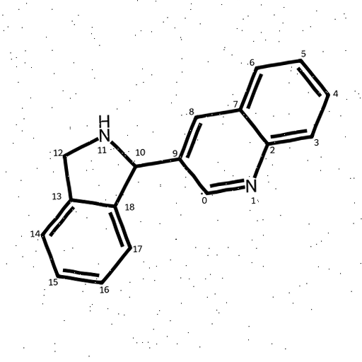 [c]1nc2ccccc2cc1C1NCc2ccccc21